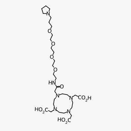 O=C(O)CN1CCN(CC(=O)O)CCN(CC(=O)NCCOCCOCCOCCOCCCN2CCCC2)CCN(CC(=O)O)CC1